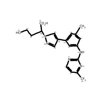 Cc1cc(Nc2nccc(C(F)(F)F)n2)cc(-c2cnn(C(CCO)C(=O)O)c2)c1